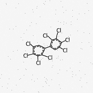 Clc1cc(-c2cc(Cl)c(Cl)c(Cl)c2Cl)c(Cl)c(Cl)c1Cl